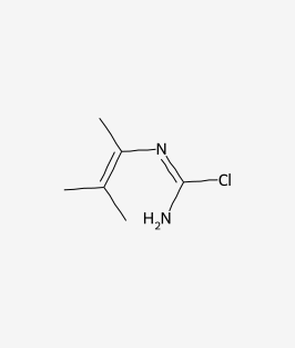 CC(C)=C(C)/N=C(\N)Cl